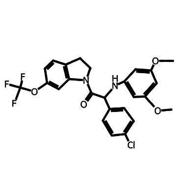 COc1cc(NC(C(=O)N2CCc3ccc(OC(F)(F)F)cc32)c2ccc(Cl)cc2)cc(OC)c1